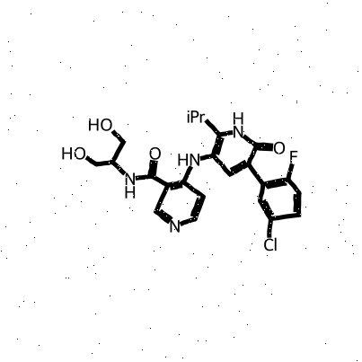 CC(C)c1[nH]c(=O)c(-c2cc(Cl)ccc2F)cc1Nc1ccncc1C(=O)NC(CO)CO